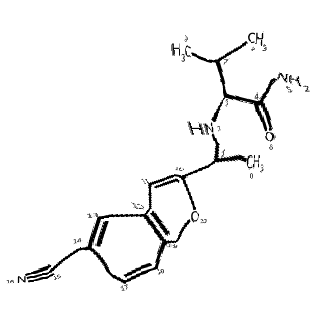 CC(N[C@H](C(N)=O)C(C)C)c1cc2cc(C#N)ccc2o1